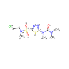 CN(C)C(=O)N(C)c1nnc(S(=O)(=O)N(C)CCCl)s1